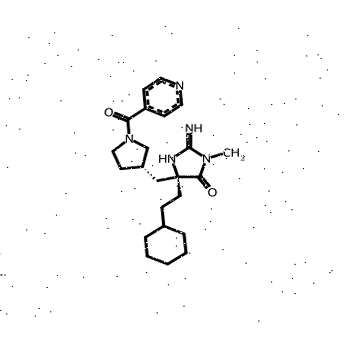 CN1C(=N)N[C@@](CCC2CCCCC2)(C[C@@H]2CCN(C(=O)c3ccncc3)C2)C1=O